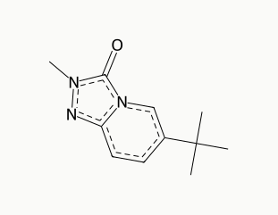 Cn1nc2ccc(C(C)(C)C)cn2c1=O